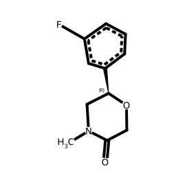 CN1C[C@@H](c2cccc(F)c2)OCC1=O